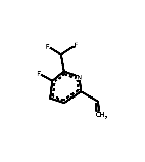 C=Cc1ccc(F)c(C(F)F)n1